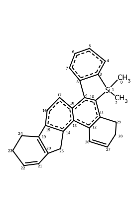 C[Si]1(C)c2ccccc2-c2c1c1c(c3c4c(ccc23)C2=C(C=CCC2)C4)C=CCC1